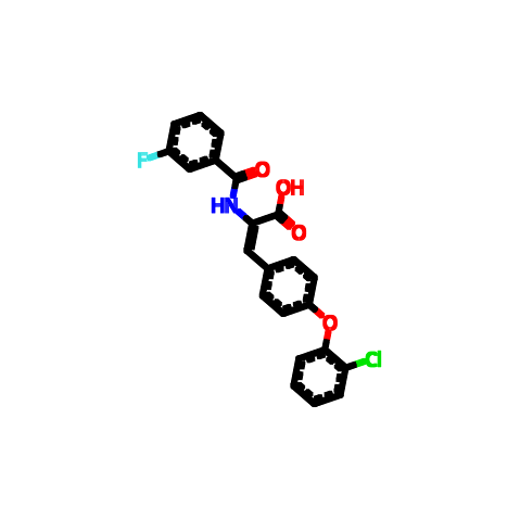 O=C(O)/C(=C\c1ccc(Oc2ccccc2Cl)cc1)NC(=O)c1cccc(F)c1